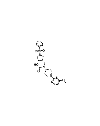 COc1ccnc(N2CCC(N(C[C@@H]3CCN(S(=O)(=O)c4cccs4)C3)C(=O)O)CC2)n1